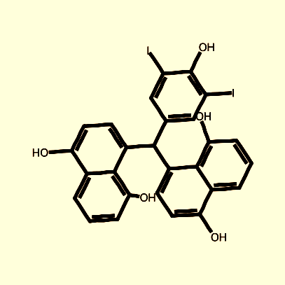 Oc1c(I)cc(C(c2ccc(O)c3cccc(O)c23)c2ccc(O)c3cccc(O)c23)cc1I